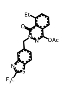 CCc1cccc2c(OC(C)=O)nn(Cc3ccc4sc(C(F)(F)F)nc4c3)c(=O)c12